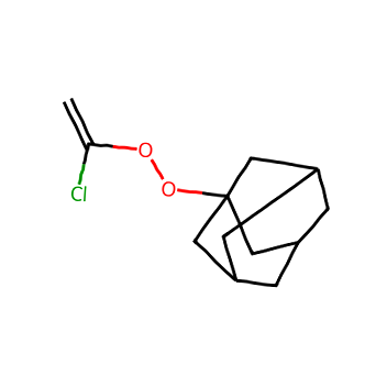 C=C(Cl)OOC12CC3CC(CC(C3)C1)C2